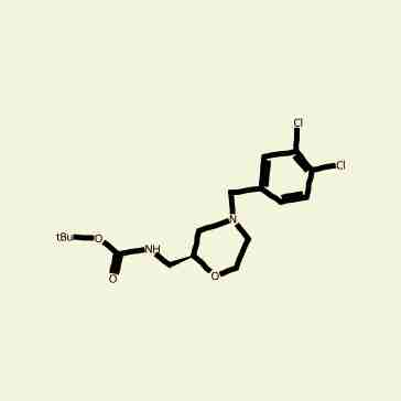 CC(C)(C)OC(=O)NC[C@H]1CN(Cc2ccc(Cl)c(Cl)c2)CCO1